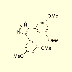 COc1cc(OC)cc(-c2ncn(C)c2-c2cc(OC)cc(OC)c2)c1